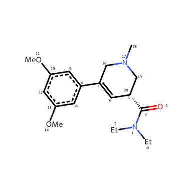 CCN(CC)C(=O)[C@@H]1C=C(c2cc(OC)cc(OC)c2)CN(C)C1